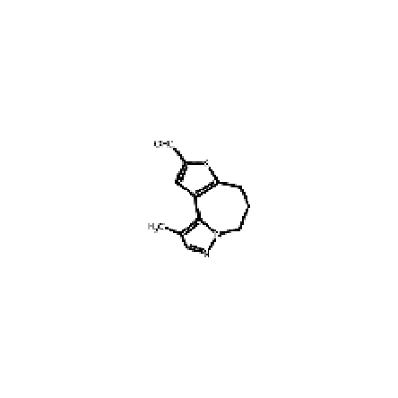 Cc1cnn2c1-c1cc(C=O)sc1CCC2